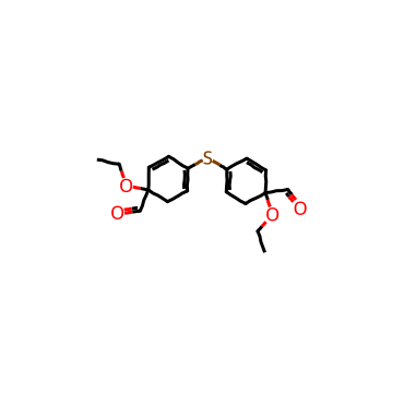 CCOC1(C=O)C=CC(SC2=CCC(C=O)(OCC)C=C2)=CC1